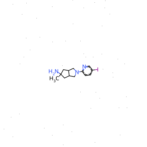 CC1(N)CC2CN(c3ccc(I)cn3)CC2C1